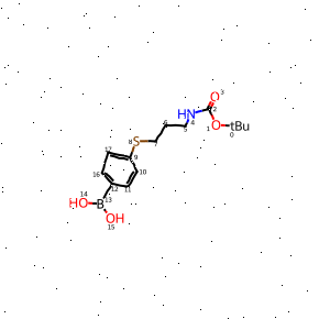 CC(C)(C)OC(=O)NCCCSc1ccc(B(O)O)cc1